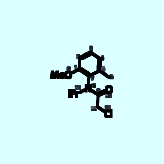 COc1cccc(C)c1N(C(=O)CCl)C(C)C